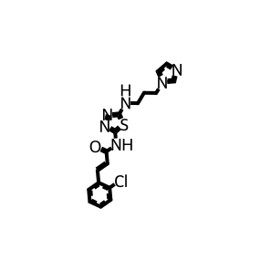 O=C(C=Cc1ccccc1Cl)Nc1nnc(NCCCn2ccnc2)s1